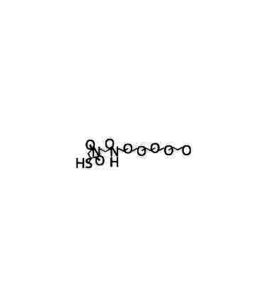 O=CCCOCCOCCOCCOCCNC(=O)CCN1C(=O)CC(S)C1=O